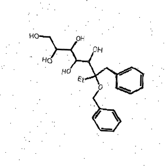 CCC(Cc1ccccc1)(OCc1ccccc1)C(O)C(O)C(O)C(O)CO